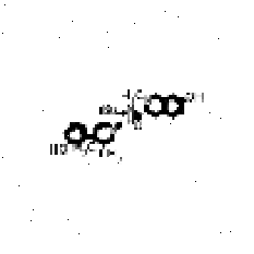 CC[C@H](C)[C@@H](CN1CC[C@@](C)(c2cccc(O)c2)[C@@H](C)C1)NC(=O)[C@H]1Cc2ccc(O)cc2CN1C